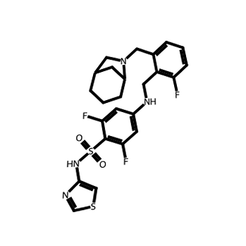 O=S(=O)(Nc1cscn1)c1c(F)cc(NCc2c(F)cccc2CN2CC3CCCC2C3)cc1F